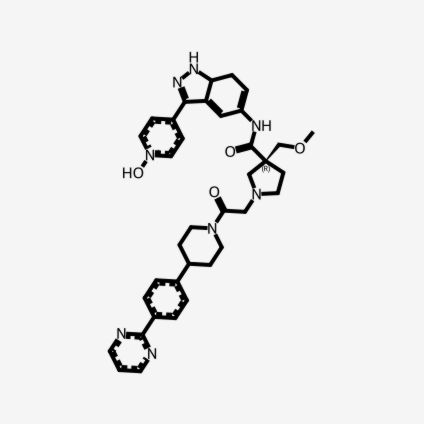 COC[C@@]1(C(=O)NC2=CCC3NN=C(c4cc[n+](O)cc4)C3=C2)CCN(CC(=O)N2CCC(c3ccc(-c4ncccn4)cc3)CC2)C1